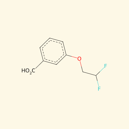 O=C(O)c1cccc(OCC(F)F)c1